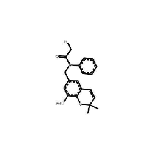 COc1cc(CN(C(=O)CC(C)C)c2ccccc2)cc2c1OC(C)(C)C=C2